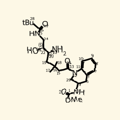 COC(=O)NC1Cc2ccccc2N(C(=O)CC(C)(C)C[C@H](N)[C@@H](O)CNC(=O)C(C)(C)C)C1